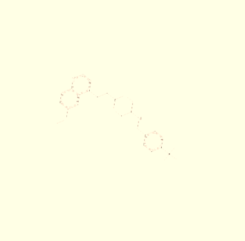 COc1ccc2nccc(CCC3OCC(NCc4ccc(C(F)(F)F)cc4)CO3)c2c1